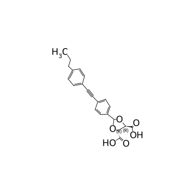 CCCc1ccc(C#Cc2ccc(C3O[C@@H](C(=O)O)[C@H](C(=O)O)O3)cc2)cc1